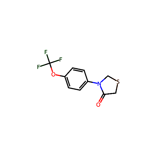 O=C1CSCN1c1ccc(OC(F)(F)F)cc1